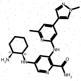 Cc1cc(-c2cnn(C)c2)cc(Nc2cc(N[C@@H]3CCCC[C@@H]3N)cnc2C(N)=O)n1